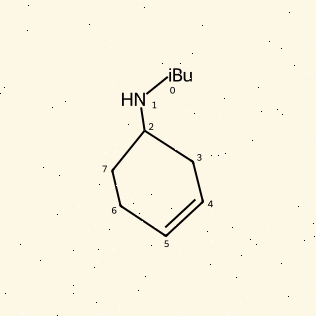 CCC(C)NC1CC=CCC1